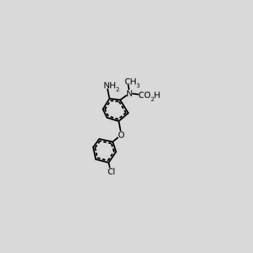 CN(C(=O)O)c1cc(Oc2cccc(Cl)c2)ccc1N